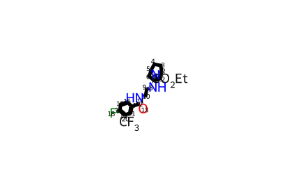 CCOC(=O)N1C2CCC1CC(NCCNC(=O)c1ccc(F)c(C(F)(F)F)c1)C2